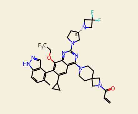 C=CC(=O)N1CC2(CCN(c3nc(N4CC[C@H](N5CC(F)(F)C5)C4)nc4c(OCC(F)(F)F)c(-c5c(C)ccc6[nH]ncc56)c(C5CC5)cc34)CC2)C1